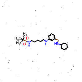 CC(C)(C)S(=O)(=O)NCCCCCNc1cccc(SNC2CCCCC2)c1